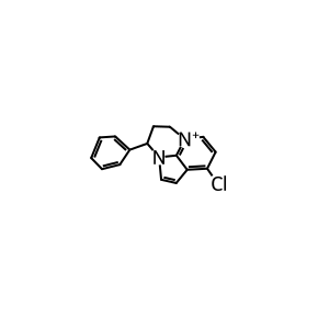 Clc1cc[n+]2c3c1ccn3C(c1ccccc1)CC2